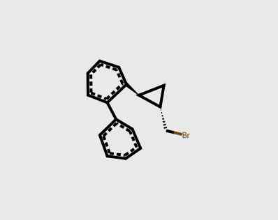 BrC[C@H]1C[C@@H]1c1ccccc1-c1ccccc1